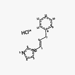 C(=Cn1ccnc1)Cc1ccccc1.Cl